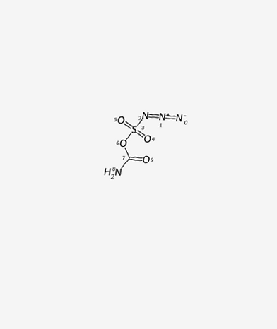 [N-]=[N+]=NS(=O)(=O)OC(N)=O